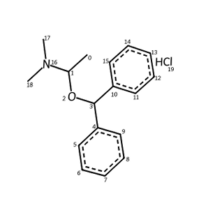 CC(OC(c1ccccc1)c1ccccc1)N(C)C.Cl